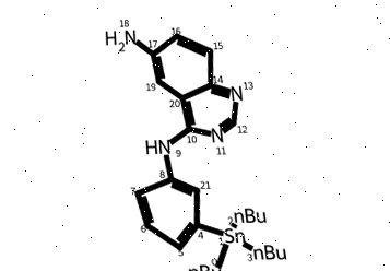 CCC[CH2][Sn]([CH2]CCC)([CH2]CCC)[c]1cccc(Nc2ncnc3ccc(N)cc23)c1